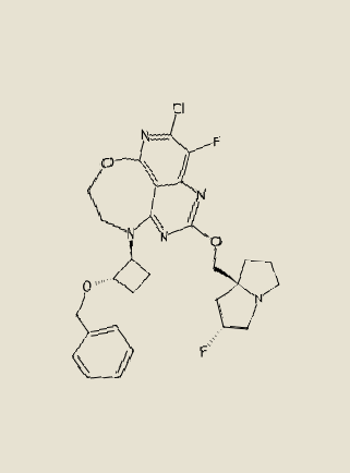 Fc1c(Cl)nc2c3c(nc(OC[C@@]45CCCN4C[C@H](F)C5)nc13)N([C@H]1CC[C@@H]1OCc1ccccc1)CCO2